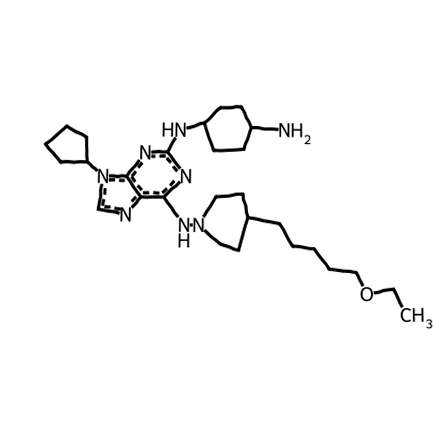 CCOCCCCCC1CCN(Nc2nc(NC3CCC(N)CC3)nc3c2ncn3C2CCCC2)CC1